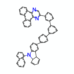 C1=CC2c3cc(-c4ccc(-c5cccc(-c6cccc(-c7cnc8c9ccccc9c9ccccc9c8n7)c6)c5)cc4)ccc3N(c3cccc4ccccc34)C2C=C1